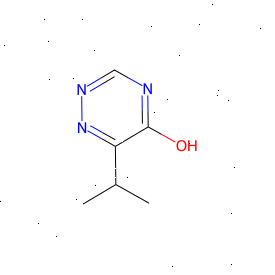 CC(C)c1nncnc1O